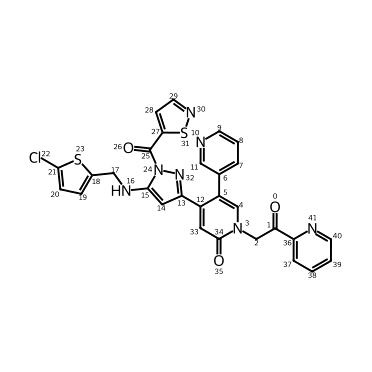 O=C(Cn1cc(-c2cccnc2)c(-c2cc(NCc3ccc(Cl)s3)n(C(=O)c3ccns3)n2)cc1=O)c1ccccn1